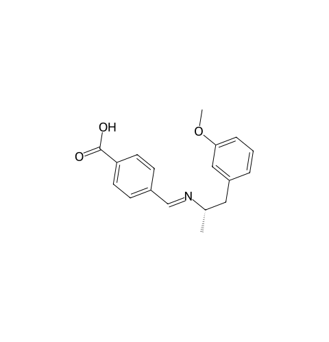 COc1cccc(C[C@H](C)/N=C/c2ccc(C(=O)O)cc2)c1